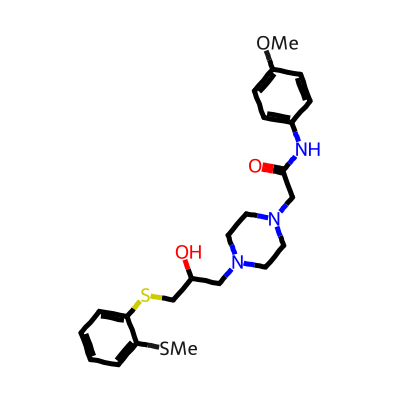 COc1ccc(NC(=O)CN2CCN(CC(O)CSc3ccccc3SC)CC2)cc1